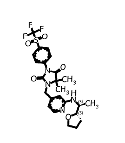 C[C@H](Nc1cc(CN2C(=O)N(c3ccc(S(=O)(=O)C(F)(F)F)cc3)C(=O)C2(C)C)ccn1)[C@@H]1CCCO1